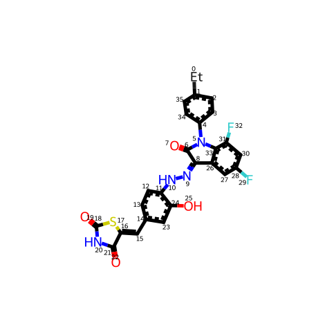 CCc1ccc(N2C(=O)/C(=N\Nc3ccc(/C=C4\SC(=O)NC4=O)cc3O)c3cc(F)cc(F)c32)cc1